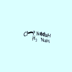 PCl.[NaH].[NaH].[NaH]